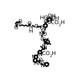 Cc1c(-c2ccc(-c3cnc4cccc(C(=O)Nc5nc6ccccc6s5)c4c3)nc2C(=O)O)cnn1CC12CC3(C)CC(C)(C1)CC(OCCN(C)C(=O)OCc1ccc(O[C@@H]4O[C@H](C(=O)O)[C@H](O)[C@H](O)[C@@H]4O)cc1OCCOCCNC(=O)CCCCCN1C(=O)C=CC1=O)(C3)C2